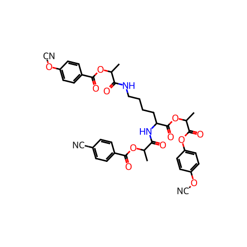 CC(OC(=O)c1ccc(OC#N)cc1)C(=O)NCCCCC(NC(=O)C(C)OC(=O)c1ccc(C#N)cc1)C(=O)OC(C)C(=O)Oc1ccc(OC#N)cc1